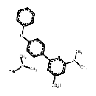 CN(C)C=O.CN(C)c1cc(C(=O)O)nc(-c2ccc(Oc3ccccc3)cc2)n1